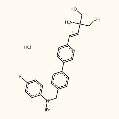 CC(C)N(Cc1ccc(-c2ccc(/C=C/C(N)(CO)CO)cc2)cc1)c1ccc(F)cc1.Cl